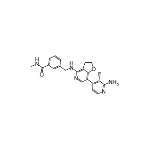 CNC(=O)c1cccc(CNc2ncc(-c3ccnc(N)c3F)c3c2CCO3)c1